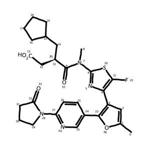 Cc1cc(-c2nc(N(C)C(=O)[C@@H](CC(=O)O)CC3CCCC3)sc2F)c(-c2ccc(N3CCCC3=O)nc2)o1